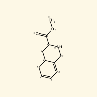 COC(=O)C1CC2CC=CC=C2CN1